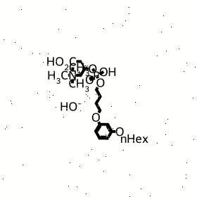 CCCCCCOc1cccc(OCCCCOP(=O)(O)O[C@H](CC(=O)O)C[N+](C)(C)C)c1.[OH-]